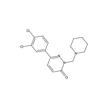 O=c1ccc(-c2ccc(Cl)c(Cl)c2)nn1CN1CCCCC1